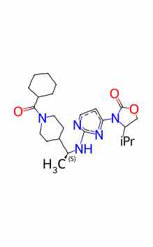 CC(C)C1COC(=O)N1c1ccnc(N[C@@H](C)C2CCN(C(=O)C3CCCCC3)CC2)n1